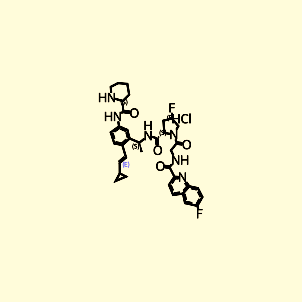 C[C@H](NC(=O)[C@@H]1C[C@@H](F)CN1C(=O)CNC(=O)c1ccc2cc(F)ccc2n1)c1cc(NC(=O)[C@@H]2CCCCN2)ccc1/C=C/C1CC1.Cl